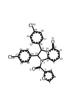 O=C(c1ccco1)N1c2cccc(=O)n2C(c2ccc(Cl)cc2)C1c1ccc(Cl)cc1